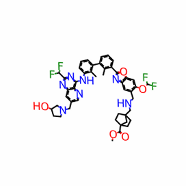 COC(=O)C12CCC(CNCc3cc4nc(-c5cccc(-c6cccc(Nc7nc(C(F)F)nc8cc(CN9CCC(O)C9)cnc78)c6C)c5C)oc4cc3OC(F)F)(CC1)C2